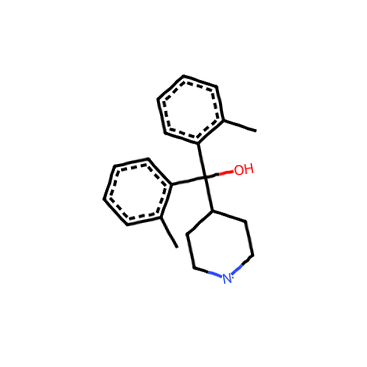 Cc1ccccc1C(O)(c1ccccc1C)C1CC[N]CC1